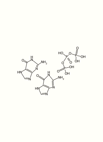 Nc1nc2nc[nH]c2c(=O)[nH]1.Nc1nc2nc[nH]c2c(=O)[nH]1.O=P(O)(O)OP(=O)(O)OP(=O)(O)O